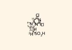 [2H]C([2H])(CC(C)(C)N(C)c1cc(Cl)nc(Cl)n1)S(=O)(=O)O